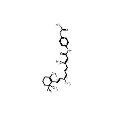 CCCC(=O)Oc1ccc(NC(=O)/C=C(C)/C=C/C=C(C)\C=C\C2=C(C)CCCC2(C)C)cc1